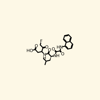 CC(C)C[C@H](NC(=O)C(=O)Nc1cccc2ccccc12)C(=O)NC(CC(=O)O)C(=O)CF